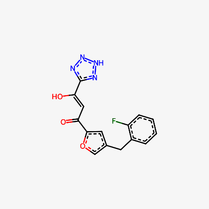 O=C(C=C(O)c1nn[nH]n1)c1cc(Cc2ccccc2F)co1